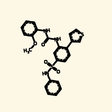 COc1ccccc1NC(=O)Nc1cc(S(=O)(=O)Nc2ccccc2)ccc1-c1ccsc1